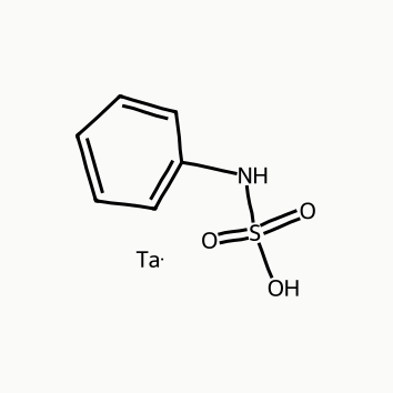 O=S(=O)(O)Nc1ccccc1.[Ta]